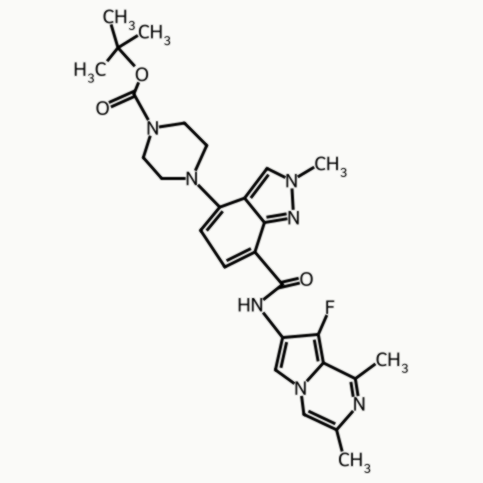 Cc1cn2cc(NC(=O)c3ccc(N4CCN(C(=O)OC(C)(C)C)CC4)c4cn(C)nc34)c(F)c2c(C)n1